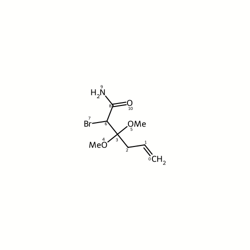 C=CCC(OC)(OC)C(Br)C(N)=O